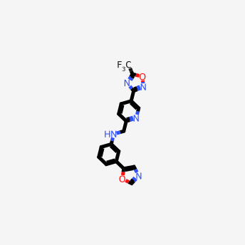 FC(F)(F)c1nc(-c2ccc(CNc3cccc(-c4cnco4)c3)nc2)no1